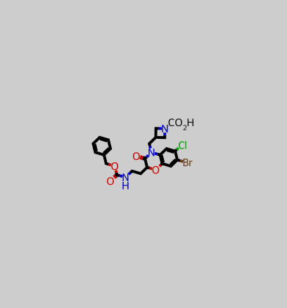 O=C(NCCC1Oc2cc(Br)c(Cl)cc2N(CC2CN(C(=O)O)C2)C1=O)OCc1ccccc1